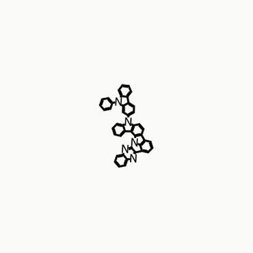 c1ccc(-n2c3ccccc3c3ccc(-n4c5ccccc5c5c4ccc4c6cccc7c8nc9ccccc9nc8n(c67)c45)cc32)cc1